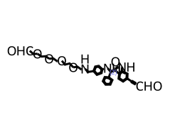 O=CC#Cc1ccc2c(c1)NC(=O)/C2=C(\Nc1ccc(CNCCOCCOCCOCCOCC=O)cc1)c1ccccc1